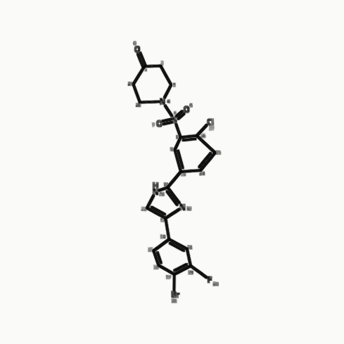 O=C1CCN(S(=O)(=O)c2cc(-c3nc(-c4ccc(Br)c(F)c4)c[nH]3)ccc2Cl)CC1